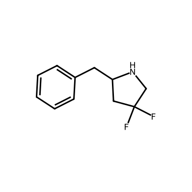 FC1(F)CNC(Cc2ccccc2)C1